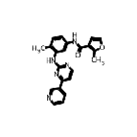 Cc1ccc(NC(=O)c2ccoc2C)cc1Nc1nccc(-c2cccnc2)n1